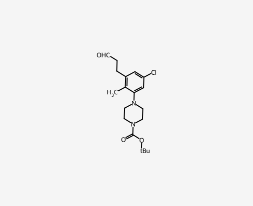 Cc1c(CCC=O)cc(Cl)cc1N1CCN(C(=O)OC(C)(C)C)CC1